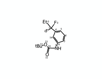 CCC(F)(F)c1cccc(NC(=O)OC(C)(C)C)c1